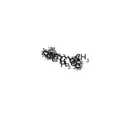 CN1/C(=C/C=C/C=C/C=C/C=C/C2=[N+](C)c3ccc4ccccc4c3C23CCCC3)C(C)(C)c2c1ccc1ccccc21